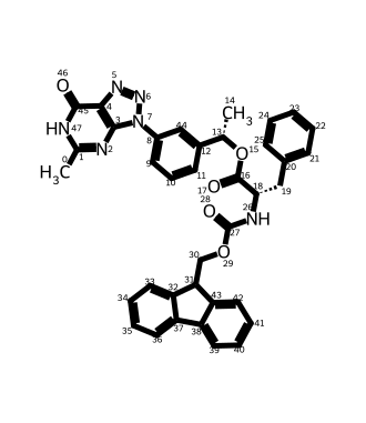 Cc1nc2c(nnn2-c2cccc([C@H](C)OC(=O)[C@H](Cc3ccccc3)NC(=O)OCC3c4ccccc4-c4ccccc43)c2)c(=O)[nH]1